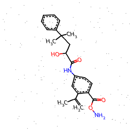 C=C(C)c1cc(NC(=O)C(O)CC(C)(C)c2ccccc2)ccc1C(=O)ON